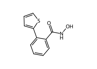 O=C(NO)c1ccccc1-c1cccs1